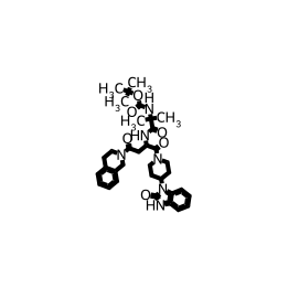 CC(C)(C)OC(=O)NC(C)(C)C(=O)NC(CC(=O)N1CCc2ccccc2C1)C(=O)N1CCC(n2c(=O)[nH]c3ccccc32)CC1